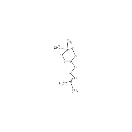 CC(C)=CCCC1=CC[C@](C)(C=O)CC1